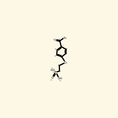 CC(=O)C(=O)c1ccc(OCCP(=O)(O)O)cc1